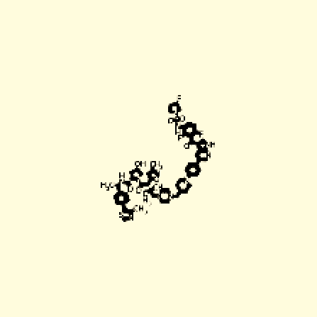 Cc1cc([C@@H](C(=O)N2C[C@H](O)C[C@H]2C(=O)N[C@@H](C)c2ccc(-c3scnc3C)cc2)C(C)(C)CN2CCN(CC3CCN(c4ccc(-c5cnc6[nH]cc(C(=O)c7c(F)ccc(NS(=O)(=O)N8CC[C@@H](F)C8)c7F)c6c5)cc4)CC3)CC2)on1